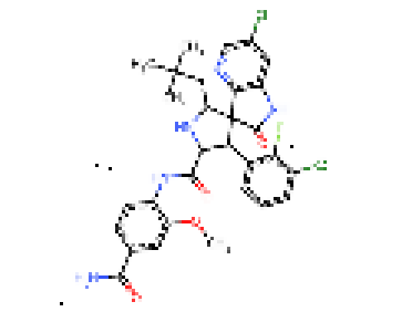 COc1cc(C(N)=O)ccc1NC(=O)C1NC(CC(C)(C)C)C2(C(=O)Nc3cc(Cl)cnc32)C1c1cccc(Cl)c1F